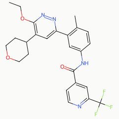 CCOc1nnc(-c2cc(NC(=O)c3ccnc(C(F)(F)F)c3)ccc2C)cc1C1CCOCC1